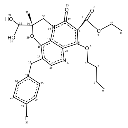 CCCCOc1c(C(=O)OCC)c(=O)n2c3c(c(Cc4ccc(F)cc4)cnc13)O[C@](C)(C(O)O)C2